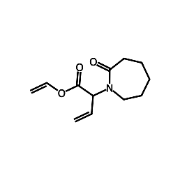 C=COC(=O)C(C=C)N1CCCCCC1=O